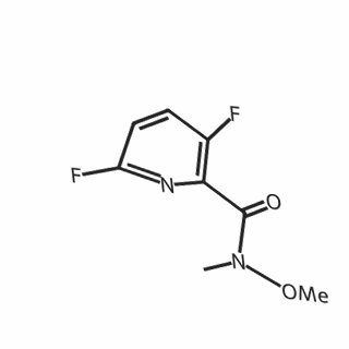 CON(C)C(=O)c1nc(F)ccc1F